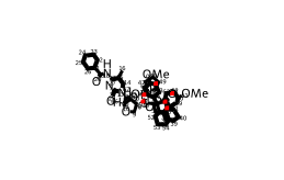 COc1ccc(C(OC[C@@]23CO[C@@H]([C@H](n4cc(C)c(NC(=O)c5ccccc5)nc4=O)O2)[C@@H]3OP(SCCc2ccccc2C(=O)S)N2CCCC2)(c2ccccc2)c2ccc(OC)cc2)cc1